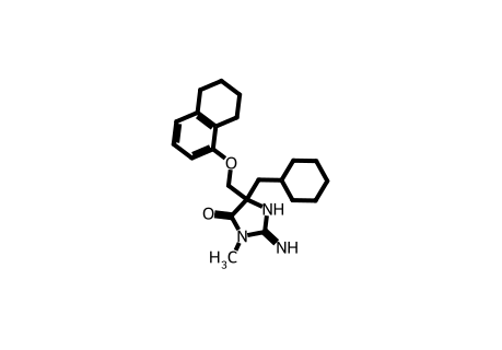 CN1C(=N)NC(COc2cccc3c2CCCC3)(CC2CCCCC2)C1=O